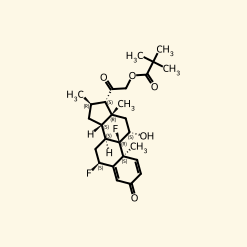 C[C@@H]1C[C@H]2[C@@H]3C[C@H](F)C4=CC(=O)C=C[C@]4(C)[C@@]3(F)[C@@H](O)C[C@@]2(C)[C@H]1C(=O)COC(=O)C(C)(C)C